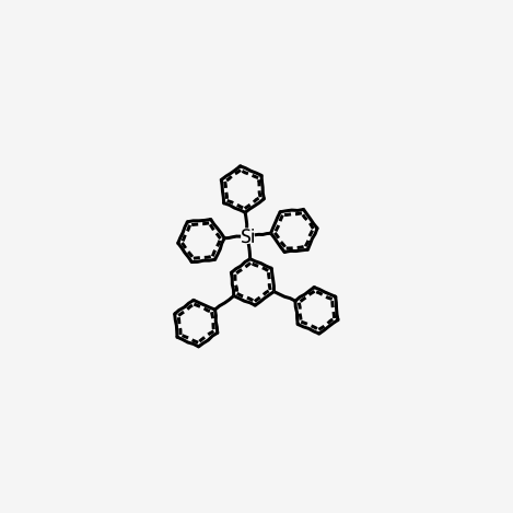 c1ccc(-c2cc(-c3ccccc3)cc([Si](c3ccccc3)(c3ccccc3)c3ccccc3)c2)cc1